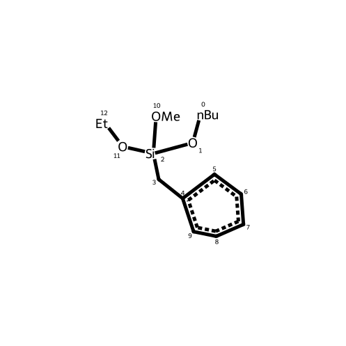 CCCCO[Si](Cc1ccccc1)(OC)OCC